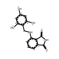 O=C1NC(=O)c2c(NCc3c(O)cc(O)cc3O)cccc21